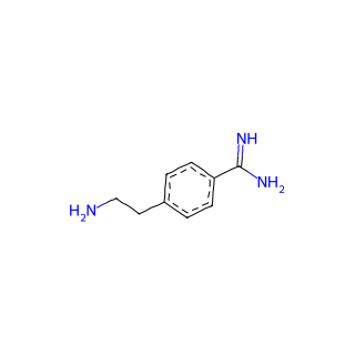 N=C(N)c1ccc(CCN)cc1